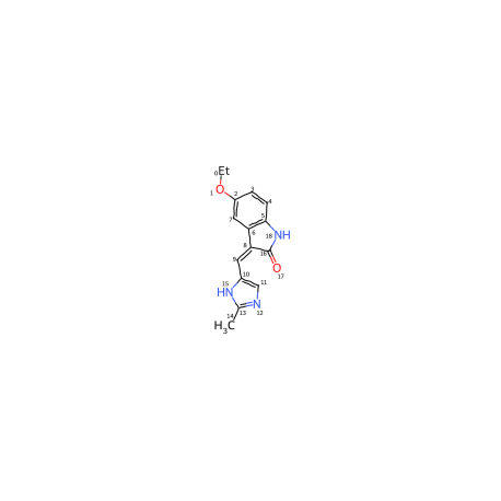 CCOc1ccc2c(c1)/C(=C/c1cnc(C)[nH]1)C(=O)N2